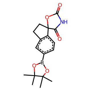 CC1(C)OB(c2ccc3c(c2)CCC32OC(=O)NC2=O)OC1(C)C